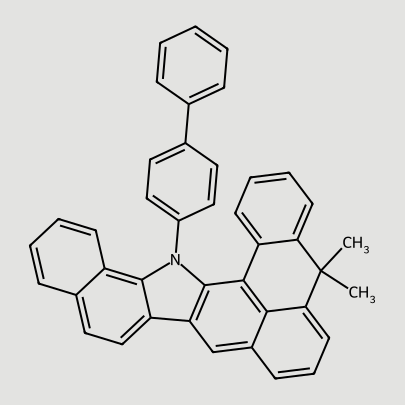 CC1(C)c2ccccc2-c2c3c1cccc3cc1c3ccc4ccccc4c3n(-c3ccc(-c4ccccc4)cc3)c21